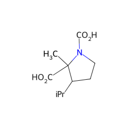 CC(C)C1CCN(C(=O)O)C1(C)C(=O)O